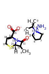 CC(C)[N+]1(N)CCCC1.CC1C(=O)N2C(C(=O)[O-])=CCS[C@@H]12